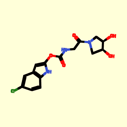 O=C(NCC(=O)N1C[C@@H](O)[C@@H](O)C1)Oc1cc2cc(Cl)ccc2[nH]1